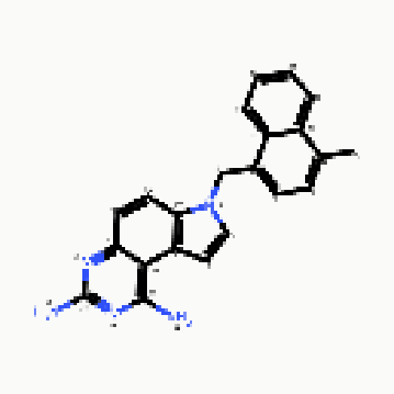 Cc1ccc(Cn2ccc3c4c(N)nc(N)nc4ccc32)c2ccccc12